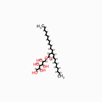 CCCCCCCCCCCCC(CCCCCCCCCC)CC(=O)OC[C@@H](O)[C@@H](O)[C@H](O)[C@H](O)CO